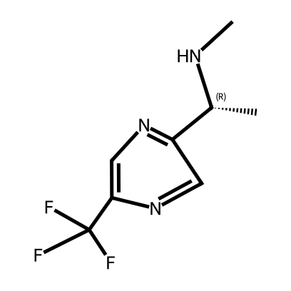 CN[C@H](C)c1cnc(C(F)(F)F)cn1